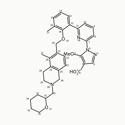 COc1c(C(=O)O)cnn1-c1cccc(-c2cccc(C)c2OCc2ccc3c(c2C)CCN(CC2CCCCO2)C3)n1